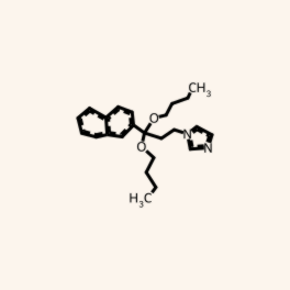 CCCCOC(CCn1ccnc1)(OCCCC)c1ccc2ccccc2c1